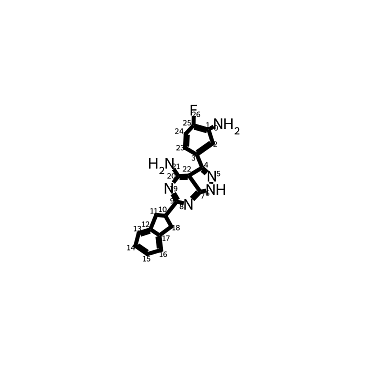 Nc1cc(-c2n[nH]c3nc(C4Cc5ccccc5C4)nc(N)c23)ccc1F